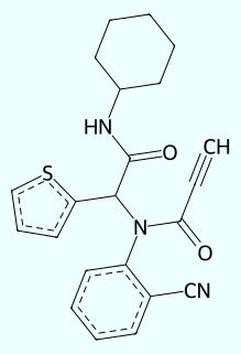 C#CC(=O)N(c1ccccc1C#N)C(C(=O)NC1CCCCC1)c1cccs1